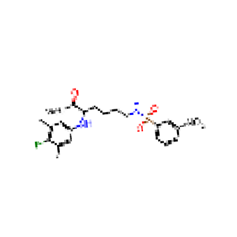 COC(=O)C(CCCCNS(=O)(=O)c1cccc([N+](=O)[O-])c1)Nc1cc(C)c(F)c(C)c1